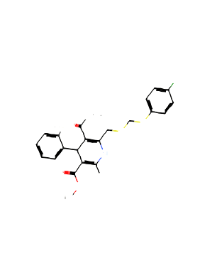 COC(=O)C1=C(CSCSc2ccc(Cl)cc2)NC(C)=C(C(=O)OC(C)C)C1c1ccccc1SC